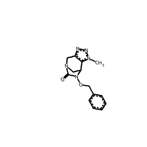 Cn1nnc2c1C1CN(C2)C(=O)N1OCc1ccccc1